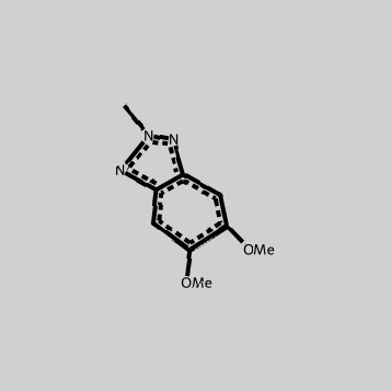 COc1cc2nn(C)nc2cc1OC